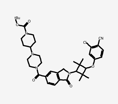 CC(C)(C)OC(=O)N1CCC(N2CCN(C(=O)c3ccc4c(c3)CN(C3C(C)(C)C(Oc5ccc(C#N)c(Cl)c5)C3(C)C)C4=O)CC2)CC1